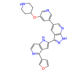 c1cc2[nH]c(-c3n[nH]c4ncc(-c5cncc(OC6CCNCC6)c5)cc34)cc2c(-c2ccoc2)n1